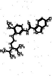 COc1ccc(NC(=O)c2occ3cc(Cl)ccc23)cc1OCCN(C(C)C)C(C)C